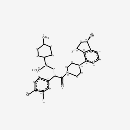 COC1CCC(N(C[C@H](C(=O)N2CCN(c3ncnc4c3[C@H](C)C[C@H]4O)CC2)c2ccc(Cl)c(F)c2)C(=O)O)CC1